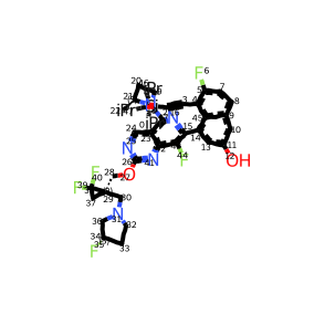 CC(C)[Si](C#Cc1c(F)ccc2cc(O)cc(-c3nc(N4CC[C@@H]4C)c4cnc(OC[C@]5(CN6CC[C@H](F)C6)CC5(F)F)nc4c3F)c12)(C(C)C)C(C)C